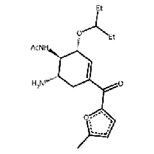 CCC(CC)O[C@@H]1C=C(C(=O)c2ccc(C)o2)C[C@H](N)[C@H]1NC(C)=O